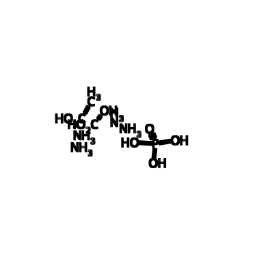 CC(=O)O.N.N.N.N.O=C(O)O.O=P(O)(O)O